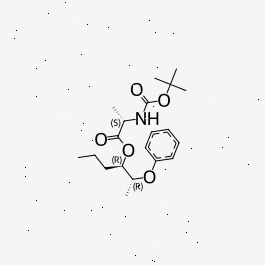 CCC[C@@H](OC(=O)[C@H](C)NC(=O)OC(C)(C)C)[C@@H](C)Oc1ccccc1